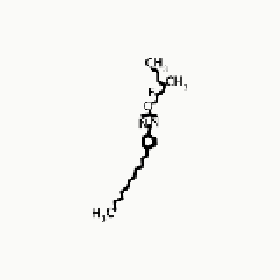 CCCCCCCCCCCCc1ccc(-c2ncc(OCC(F)CC(C)CCCC)cn2)cc1